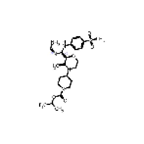 C=C1/C(=C(\N=C/N)Nc2ccc(S(C)(=O)=O)cc2)OCCN1C1CCN(C(=O)OC(C)C(F)(F)F)CC1